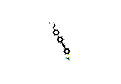 CCC[C@H]1CC[C@H](c2ccc(C#Cc3ccc(SC(F)F)cc3)cc2)CC1